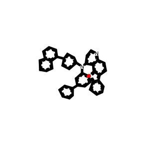 c1ccc(-c2cccc(N(c3ccc(-c4cccc5ccccc45)cc3)c3ccnc4ccc5c6ccccc6oc5c34)c2)cc1